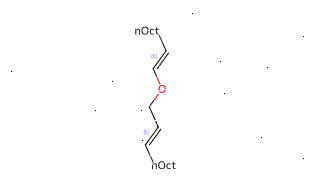 CCCCCCCC/C=C/CO/C=C/CCCCCCCC